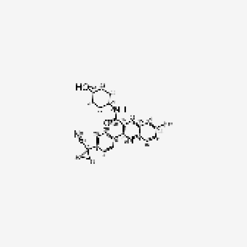 N#CC1(c2ccc(-c3nc4ccc(F)cc4cc3C(=O)NC3CCC(O)CC3)cc2)CC1